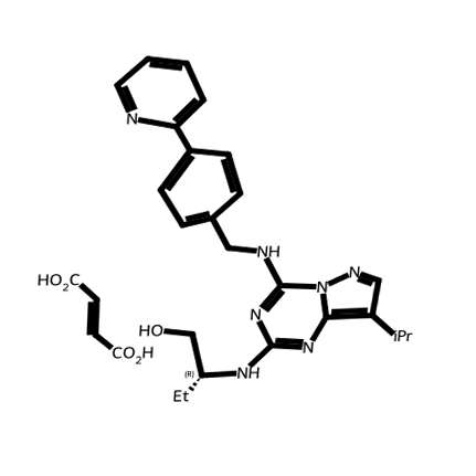 CC[C@H](CO)Nc1nc(NCc2ccc(-c3ccccn3)cc2)n2ncc(C(C)C)c2n1.O=C(O)C=CC(=O)O